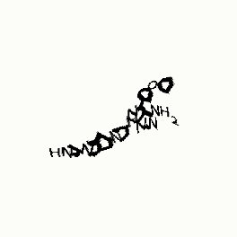 Nc1ncnc2c1c(-c1ccc(Oc3ccccc3)cc1)nn2C1CCN(C2CC3CN(C4CNC4)CC3C2)CC1